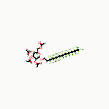 CC(=O)OC[C@H]1O[C@H](OCCC(F)(F)C(F)(F)C(F)(F)C(F)(F)C(F)(F)C(F)(F)C(F)(F)C(F)(F)C(F)(F)C(F)(F)F)[C@@H](OC(C)=O)[C@@H](OC(C)=O)[C@@H]1OC(C)=O